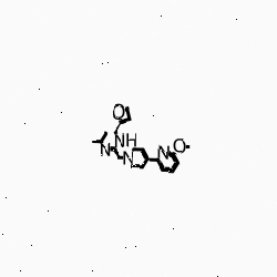 COc1cccc(C2=CCN(C/C(=N/C(C)C)NC[C@@H]3CCO3)CC2)n1